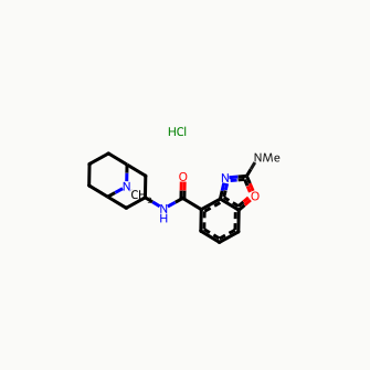 CNc1nc2c(C(=O)NC3CC4CCCC(C3)N4C)cccc2o1.Cl